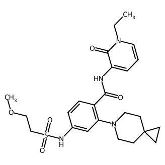 CCn1cccc(NC(=O)c2ccc(NS(=O)(=O)CCOC)cc2N2CCC3(CC2)CC3)c1=O